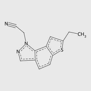 CCc1cc2c(ccc3cnn(CC#N)c32)s1